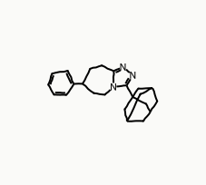 c1ccc(C2CCc3nnc(C45CC6CC(CC(C6)C4)C5)n3CC2)cc1